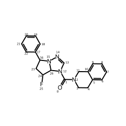 O=C(N1CCc2ccccc2C1)N1C=NN2C(c3ccccc3)CC(F)C12